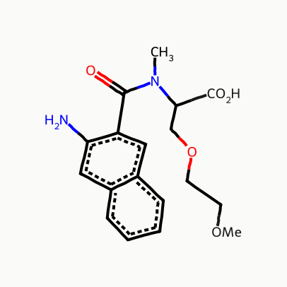 COCCOCC(C(=O)O)N(C)C(=O)c1cc2ccccc2cc1N